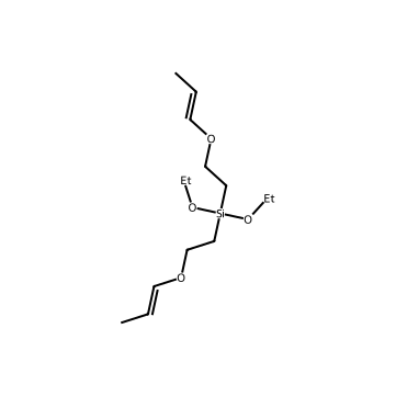 CC=COCC[Si](CCOC=CC)(OCC)OCC